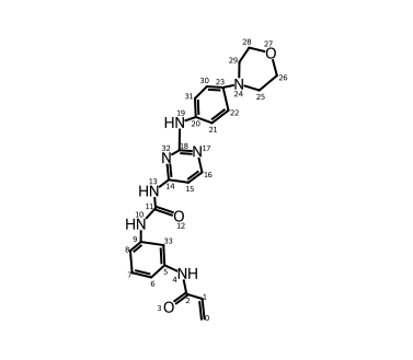 C=CC(=O)Nc1cccc(NC(=O)Nc2ccnc(Nc3ccc(N4CCOCC4)cc3)n2)c1